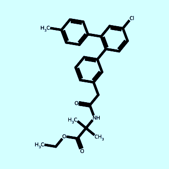 CCOC(=O)C(C)(C)NC(=O)Cc1cccc(-c2ccc(Cl)cc2-c2ccc(C)cc2)c1